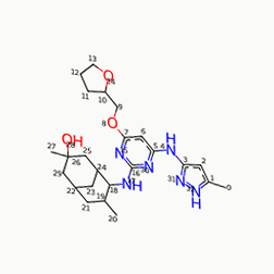 Cc1cc(Nc2cc(OCC3CCCO3)nc(NC3C(C)CC4CC3CC(C)(O)C4)n2)n[nH]1